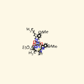 C=CCCCCCN(Cc1ccc(OC)cc1)C(=O)N1CC(Oc2cc(-c3nc(C(C)C)cs3)nc3cc(OC)ccc23)CC1C(=O)NC1(C(=O)OCC)CC1C=C